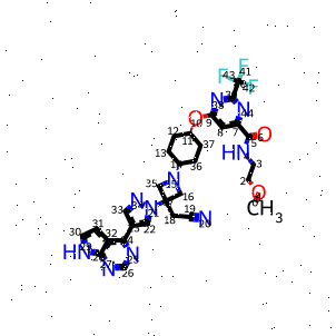 COCCNC(=O)c1cc(O[C@H]2CC[C@@H](N3CC(CC#N)(n4cc(-c5ncnc6[nH]ccc56)cn4)C3)CC2)nc(C(F)(F)F)n1